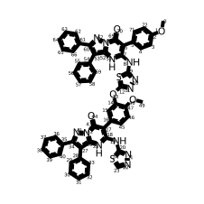 COc1ccc(-c2c(Nc3nnc(Oc4cc(-c5c(Nc6nncs6)[nH]c6c(-c7ccccc7)c(-c7ccccc7)nn6c5=O)ccc4OC)s3)[nH]c3c(-c4ccccc4)c(-c4ccccc4)nn3c2=O)cc1